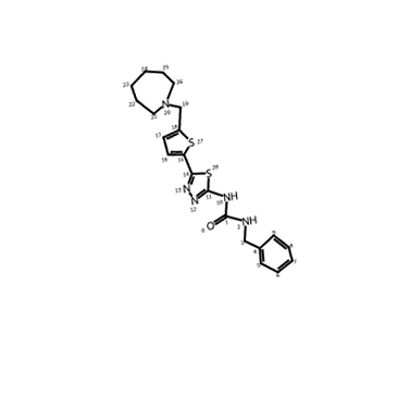 O=C(NCc1ccccc1)Nc1nnc(-c2ccc(CN3CCCCCC3)s2)s1